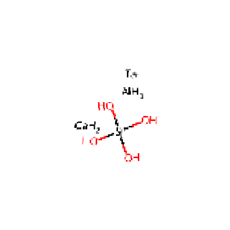 O[Si](O)(O)O.[AlH3].[CaH2].[Ta]